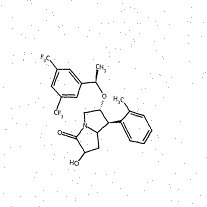 Cc1ccccc1[C@H]1C2CC(O)C(=O)N2C[C@@H]1O[C@H](C)c1cc(C(F)(F)F)cc(C(F)(F)F)c1